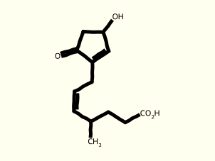 CC(/C=C\CC1=CC(O)CC1=O)CCC(=O)O